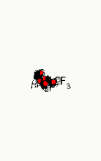 Cc1[nH]c(-c2ccc(Cl)cc2)c(CN2CCN(c3cccc(C(F)(F)F)c3)CC2)c1-c1cccc2ccccc12